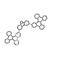 C1=CC2=c3c(c4ccccc4c4ccccc34)=C3C=C(c4ccc5oc6ccc(-c7ccc8c9ccccc9c9c%10ccccc%10c%10ccccc%10c9c8c7)cc6c5c4)C=CC3C2C=C1